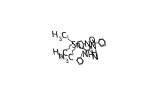 CCC[CH2][Sn]([CH2]CCC)([CH2]CCC)[c]1ccc2nc(NC(=O)c3ccccc3)c(C#N)c(NCc3ccccc3)c2c1